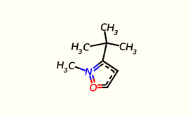 C[n+]1occc1C(C)(C)C